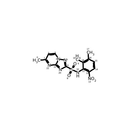 Cc1ccn2nc(S(=O)(=O)Nc3c([N+](=O)[O-])ccc(C)c3C)nc2n1